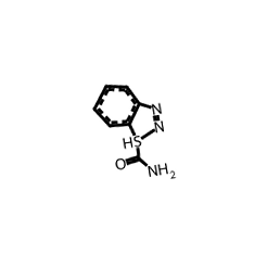 NC(=O)[SH]1N=Nc2ccccc21